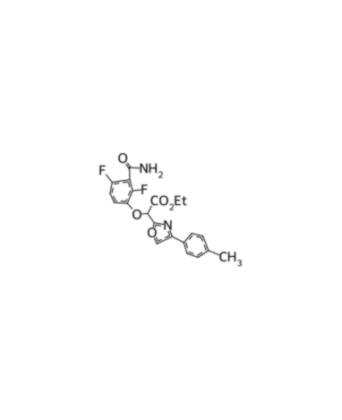 CCOC(=O)C(Oc1ccc(F)c(C(N)=O)c1F)c1nc(-c2ccc(C)cc2)co1